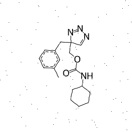 Cc1cccc(CC2(COC(=O)NC3CCCCC3)C=NN=N2)c1